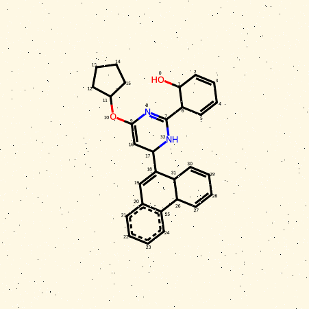 OC1C=CC=CC1C1=NC(OC2CCCC2)=CC(C2=Cc3ccccc3C3C=CC=CC23)N1